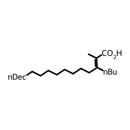 CCCCCCCCCCCCCCCCCCC(CCCC)=C(C)C(=O)O